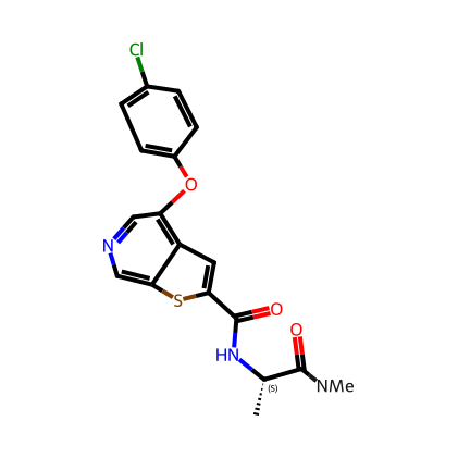 CNC(=O)[C@H](C)NC(=O)c1cc2c(Oc3ccc(Cl)cc3)cncc2s1